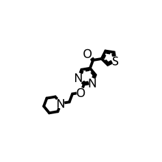 O=C(c1cnc(OCCN2CCCCC2)nc1)c1ccsc1